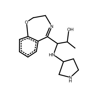 CC(O)C(NC1CCNC1)C1=NCCOc2ccccc21